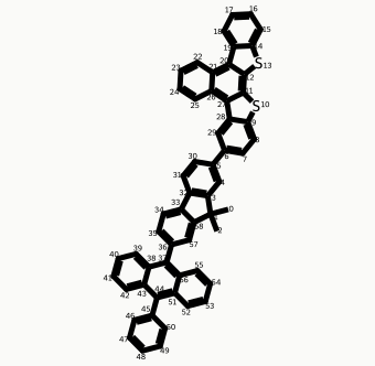 CC1(C)c2cc(-c3ccc4sc5c6sc7ccccc7c6c6ccccc6c5c4c3)ccc2-c2ccc(-c3c4ccccc4c(-c4ccccc4)c4ccccc34)cc21